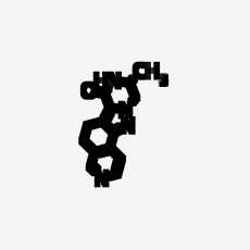 CC1Cn2nc3c(c2C(=O)N1)CCc1cnccc1-3